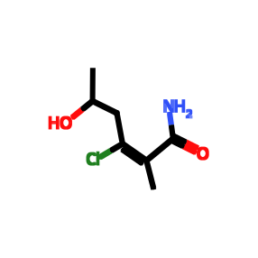 CC(C(N)=O)=C(Cl)CC(C)O